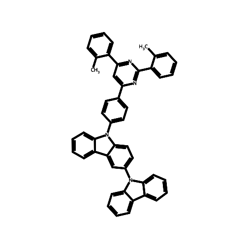 Cc1ccccc1-c1cc(-c2ccc(-n3c4ccccc4c4cc(-n5c6ccccc6c6ccccc65)ccc43)cc2)nc(-c2ccccc2C)n1